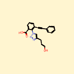 O=C(O)c1cccc(C#Cc2ccccc2)c1-n1cc(CCCO)nn1